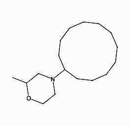 CC1CN(C2CCCCCCCCCCC2)CCO1